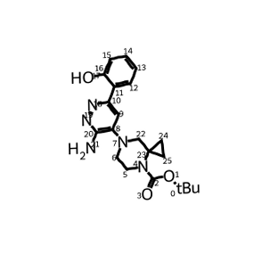 CC(C)(C)OC(=O)N1CCN(c2cc(-c3ccccc3O)nnc2N)CC12CC2